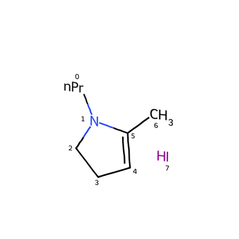 CCCN1CCC=C1C.I